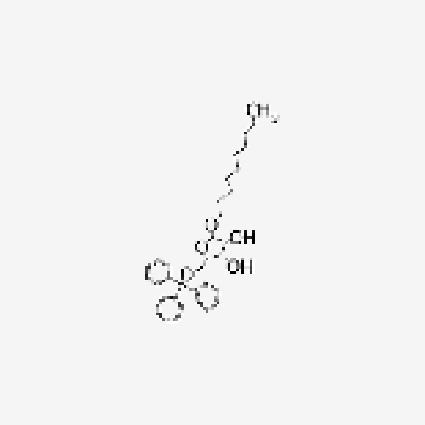 CCCCCCCCCCO[C@@H]1O[C@H](COC(c2ccccc2)(c2ccccc2)c2ccccc2)[C@@H](O)[C@H]1O